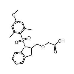 COc1cc(C)c(S(=O)(=O)N2c3ccccc3CC2COCC(=O)O)c(C)c1